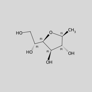 C[C@@H]1O[C@H]([C@H](O)CO)[C@H](O)[C@H]1O